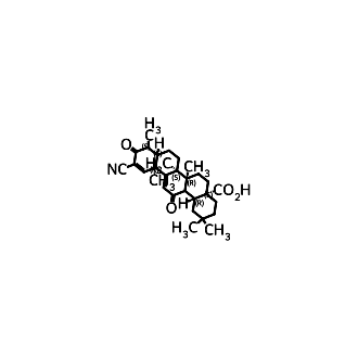 C[C@@H]1C(=O)C(C#N)=C[C@]2(C)C3=CC(=O)C4[C@H]5CC(C)(C)CC[C@]5(C(=O)O)CC[C@@]4(C)[C@]3(C)CC[C@@H]12